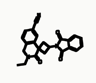 CCN1Cc2ccc(C#N)cc2C2(CC(N3C(=O)c4ccccc4C3=O)C2)C1=O